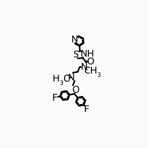 CN(CCCN(C)C(=O)C1CSC(c2cccnc2)N1)CCOC(c1ccc(F)cc1)c1ccc(F)cc1